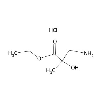 CCOC(=O)C(C)(O)CN.Cl